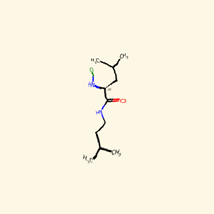 CC(C)CCNC(=O)[C@H](CC(C)C)NCl